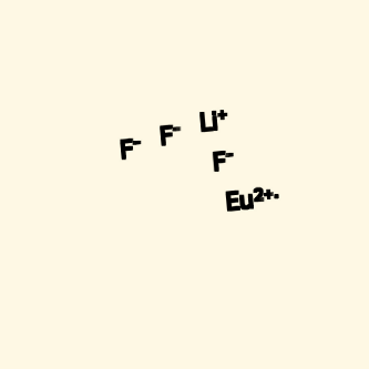 [Eu+2].[F-].[F-].[F-].[Li+]